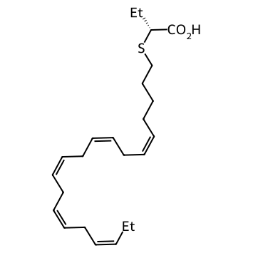 CC/C=C\C/C=C\C/C=C\C/C=C\C/C=C\CCCCS[C@H](CC)C(=O)O